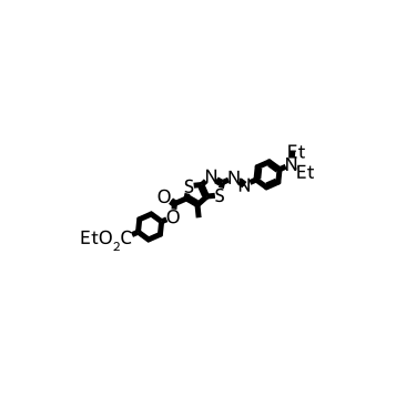 CCOC(=O)C1CCC(OC(=O)c2sc3nc(N=Nc4ccc(N(CC)CC)cc4)sc3c2C)CC1